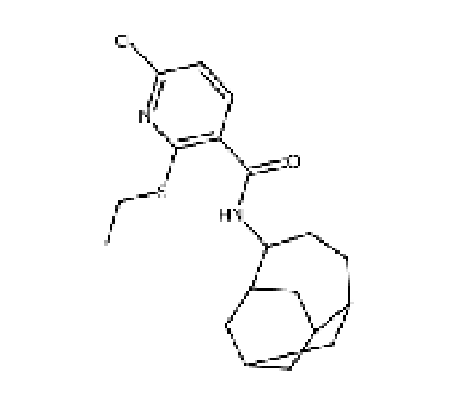 CCSc1nc(Cl)ccc1C(=O)NC1CCC2CC3CC2CC1C3